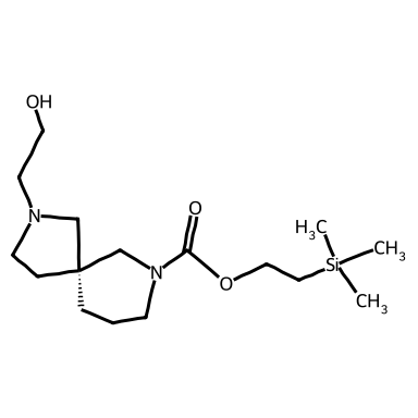 C[Si](C)(C)CCOC(=O)N1CCC[C@@]2(CCN(CCO)C2)C1